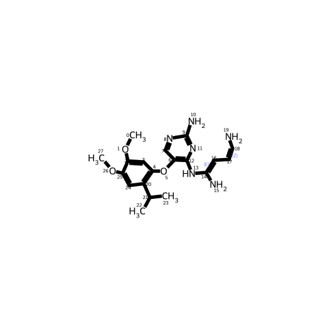 COc1cc(Oc2cnc(N)nc2N/C(N)=C/C=C\N)c(C(C)C)cc1OC